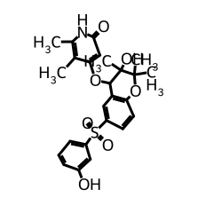 Cc1[nH]c(=O)cc(OC2c3cc(S(=O)(=O)c4cccc(O)c4)ccc3OC(C)(C)C2(C)O)c1C